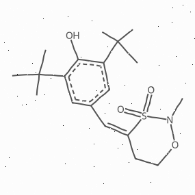 CN1OCC/C(=C/c2cc(C(C)(C)C)c(O)c(C(C)(C)C)c2)S1(=O)=O